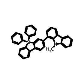 Cn1c2ccccc2c2cccc(-c3ccc4c(c3)[Si](c3ccccc3)(c3ccccc3)c3ccccc3-4)c21